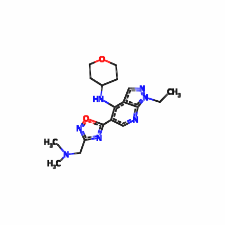 CCn1ncc2c(NC3CCOCC3)c(-c3nc(CN(C)C)no3)cnc21